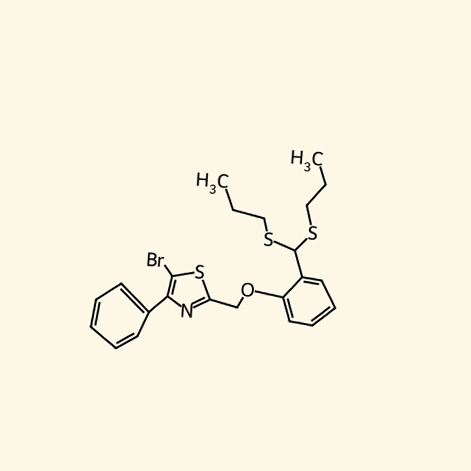 CCCSC(SCCC)c1ccccc1OCc1nc(-c2ccccc2)c(Br)s1